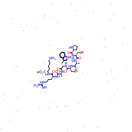 CC(C)C[C@H](NC(=O)[C@H](C)NC(=O)[C@H](CC(C)C)NC(=O)[C@@H]1CCCN1)C(=O)N[C@@H](Cc1c[nH]c2ccccc12)C(=O)N[C@@H](C)C(=O)N[C@@H](CCCNC(=N)N)C(=O)N[C@@H](CCCCN)C(=O)O